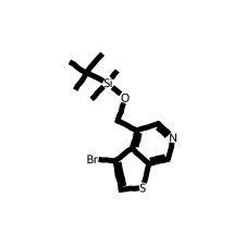 CC(C)(C)[Si](C)(C)OCc1cncc2scc(Br)c12